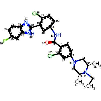 CCN1[C@H](C)CN(c2ccc(C(=O)Nc3ccc(Cl)c(-c4nc5ccc(F)cc5[nH]4)c3)c(Cl)c2)C[C@@H]1C